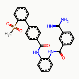 CS(=O)(=O)c1ccccc1-c1ccc(C(=O)Nc2ccccc2NC(=O)c2cccc(C(=N)N)c2)cc1